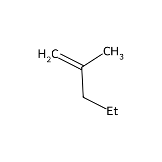 [CH2]CCC(=C)C